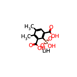 Cc1cc(C(=O)O)c(S(=O)(=O)O)c(C(=O)O)c1C.[LiH]